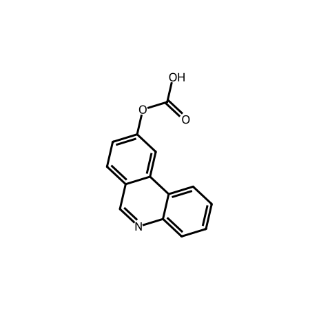 O=C(O)Oc1ccc2cnc3ccccc3c2c1